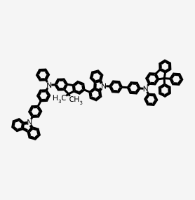 CC1(C)c2cc(-c3cccc4c3c3ccccc3n4-c3ccc(-c4ccc(N(c5ccccc5)c5ccc6c(c5)C(c5ccccc5)(c5ccccc5)c5ccccc5-6)cc4)cc3)ccc2-c2ccc(N(c3ccccc3)c3ccc(-c4ccc(-n5c6ccccc6c6ccccc65)cc4)cc3)cc21